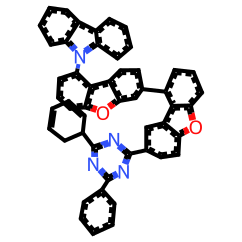 C1=CCC(c2nc(-c3ccccc3)nc(-c3ccc4oc5cccc(-c6ccc7c(c6)oc6cccc(-n8c9ccccc9c9ccccc98)c67)c5c4c3)n2)C=C1